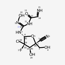 N#C[C@]1(CO)O[C@@H](N/C(=N/O)NC(=O)C=N)[C@@](F)(Cl)[C@@H]1O